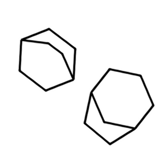 C1CC2CCC(C1)C2.C1CC2CCC1CC2